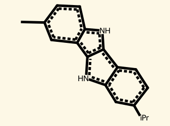 Cc1ccc2[nH]c3c4ccc(C(C)C)cc4[nH]c3c2c1